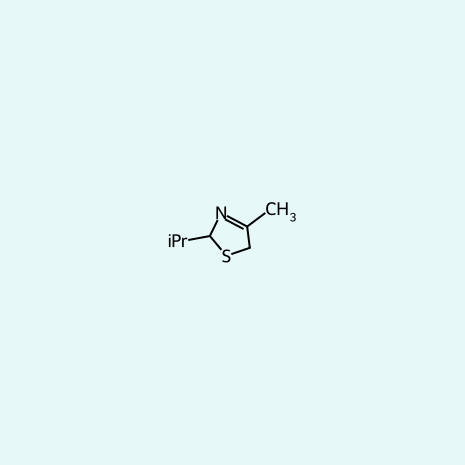 CC1=NC(C(C)C)SC1